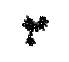 Cc1cc(OCCCc2c3n(c4c(-c5c(C)nn(C)c5C)c(Cl)ccc24)[C@H](C)CN(c2cn(C)c4c(C)c(C(=O)O)ccc24)C3=O)cc(C)c1Cl